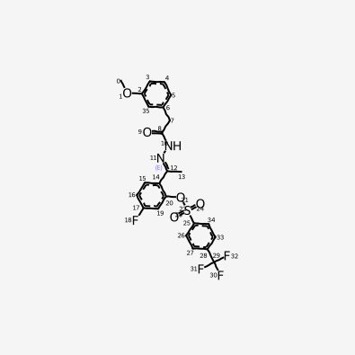 COc1cccc(CC(=O)N/N=C(\C)c2ccc(F)cc2OS(=O)(=O)c2ccc(C(F)(F)F)cc2)c1